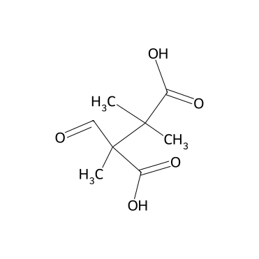 CC(C)(C(=O)O)C(C)(C=O)C(=O)O